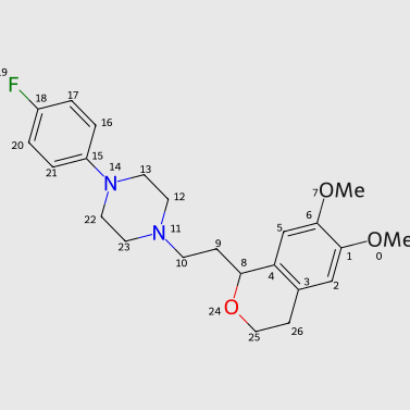 COc1cc2c(cc1OC)C(CCN1CCN(c3ccc(F)cc3)CC1)OCC2